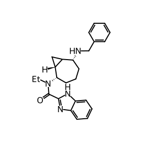 CCN(C(=O)c1nc2ccccc2[nH]1)[C@H]1CCC[C@@H](NCc2ccccc2)C2C[C@H]21